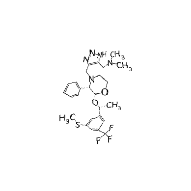 CSc1cc([C@@H](C)O[C@H]2OCCN(Cc3nn[nH]c3CN(C)C)[C@H]2c2ccccc2)cc(C(F)(F)F)c1